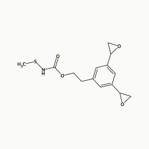 CSNC(=O)OCCc1cc(C2CO2)cc(C2CO2)c1